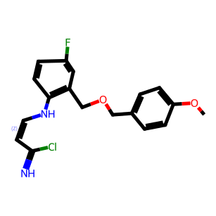 COc1ccc(COCc2cc(F)ccc2N/C=C\C(=N)Cl)cc1